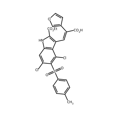 CCOC(=O)c1[nH]c2cc(Cl)c(S(=O)(=O)c3ccc(C)cc3)c(Cl)c2c1/C=C(/C(=O)O)c1ccoc1